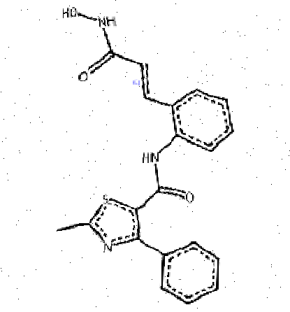 Cc1nc(-c2ccccc2)c(C(=O)Nc2ccccc2/C=C/C(=O)NO)s1